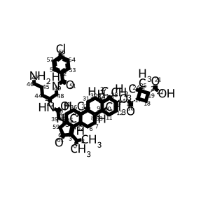 CC(C)C1=C2[C@H]3CC[C@@H]4[C@@]5(C)CC[C@H](OC(=O)[C@H]6C[C@@H](C(=O)O)C6(C)C)C(C)(C)[C@@H]5CC[C@@]4(C)[C@]3(C)CC[C@@]2(CC(=O)NC(CCCN)CNC(=O)c2ccc(Cl)cc2)CC1=O